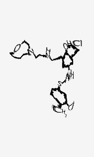 Cc1ccc(SNc2cc(NCCCN3CCOCC3)c3occc3c2)cc1Cl.Cl